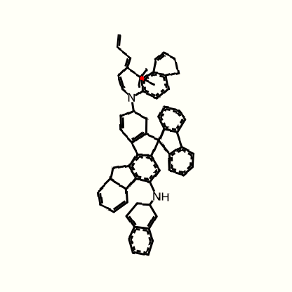 C=C/C=C(\C=C/N(c1ccc2c(c1)C=CCC2)C1C=CC2=C(C1)C1(c3ccccc3-c3ccccc31)c1cc(NC3C=c4ccccc4=CC3)c3c(c12)CC1C=CC=CC31)C(C)(C)C